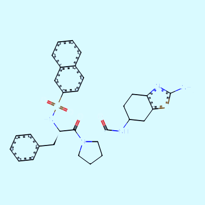 Nc1nc2c(s1)CC(NC(=O)[C@@H]1CCCN1C(=O)[C@@H](Cc1ccccc1)NS(=O)(=O)c1ccc3ccccc3c1)CC2